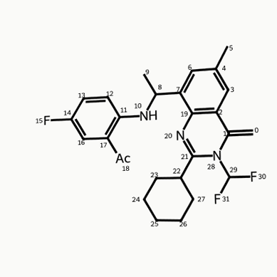 C=C1c2cc(C)cc(C(C)Nc3ccc(F)cc3C(C)=O)c2N=C(C2CCCCC2)N1C(F)F